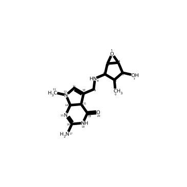 CC1C(O)C2OC2C1NCC1=CN(C)C2N=C(N)NC(=O)C12